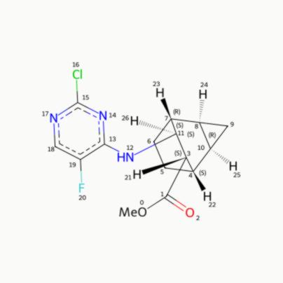 COC(=O)[C@H]1[C@H]2CC[C@H]([C@H]3C[C@H]32)[C@@H]1Nc1nc(Cl)ncc1F